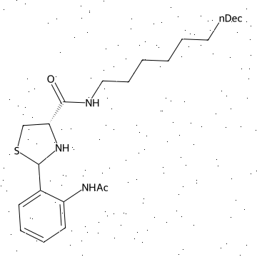 CCCCCCCCCCCCCCCCNC(=O)[C@H]1CSC(c2ccccc2NC(C)=O)N1